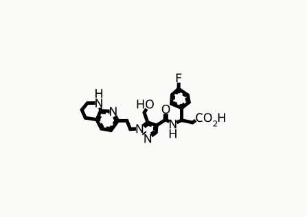 O=C(O)CC(NC(=O)c1cnn(CCc2ccc3c(n2)NCCC3)c1CO)c1ccc(F)cc1